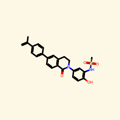 C=C(C)c1ccc(-c2ccc3c(c2)CCN(c2ccc(O)c(NS(C)(=O)=O)c2)C3=O)cc1